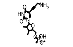 C=P(O)(OC)OCC1OC(n2cc(C#CCN)c(=O)[nH]c2=O)C(C)C1C